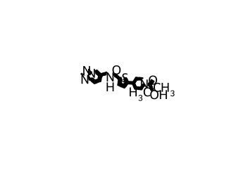 CC(C)(O)C(=O)N1CCC(c2ccc(C(=O)NCc3ccc4ncnn4c3)s2)CC1